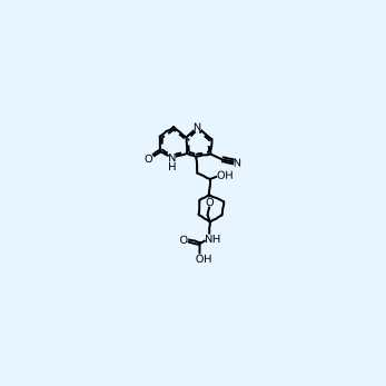 N#Cc1cnc2ccc(=O)[nH]c2c1CC(O)C12CCC(NC(=O)O)(CC1)CO2